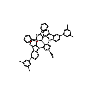 Cc1cc(C)cc(-c2ccc3c(c2)c2ccccc2n3-c2cc(C#N)cc(-n3c4ccccc4c4cc(-c5cc(C)cc(C)c5)ccc43)c2-c2cc(-c3ccccc3)nc(-c3ccccc3)c2)c1